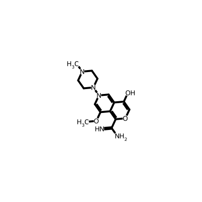 COC1=CN(N2CCN(C)CC2)C=C2C(O)=COC(C(=N)N)=C12